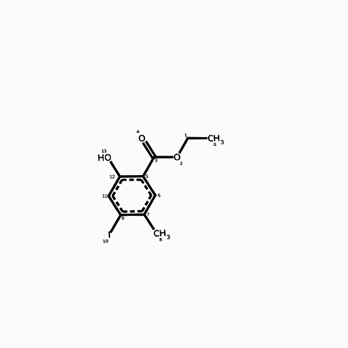 CCOC(=O)c1cc(C)c(I)cc1O